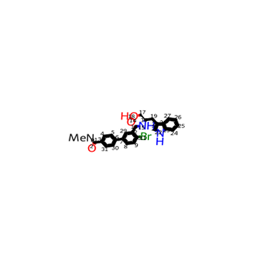 CNC(=O)c1ccc(-c2ccc(Br)c(C(=O)N[C@@H](CO)Cc3c[nH]c4ccccc34)c2)cc1